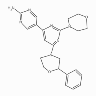 Nc1ncc(-c2cc(N3CCOC(c4ccccc4)C3)nc(N3CCOCC3)n2)cn1